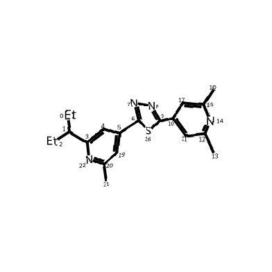 CCC(CC)c1cc(-c2nnc(-c3cc(C)nc(C)c3)s2)cc(C)n1